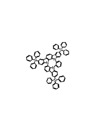 c1ccc([Si](c2ccccc2)(c2ccccc2)c2ccc3c(c2)c2cccc4c2n3c2ccccc2n2c3ccc([Si](c5ccccc5)(c5ccccc5)c5ccccc5)cc3c3ccc5c6cc([Si](c7ccccc7)(c7ccccc7)c7ccccc7)ccc6n4c5c32)cc1